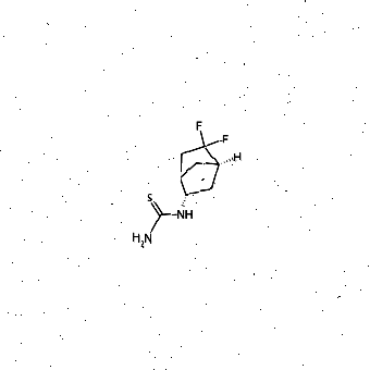 NC(=S)N[C@H]1C[C@H]2CC1CC2(F)F